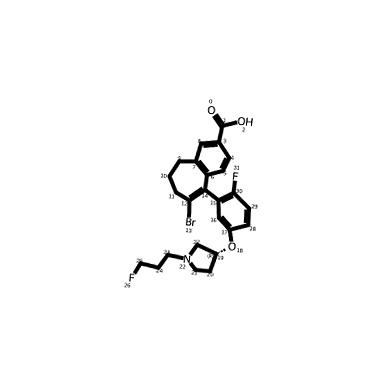 O=C(O)c1ccc2c(c1)CCCC(Br)=C2c1cc(O[C@@H]2CCN(CCCF)C2)ccc1F